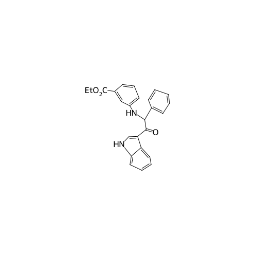 CCOC(=O)c1cccc(NC(C(=O)c2c[nH]c3ccccc23)c2ccccc2)c1